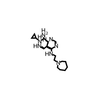 N=C/C(CC(N)NC1CC1)=C(/N=C\N)NCCN1CCCCCC1